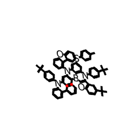 Cc1ccc(Sc2cc3c4c(c2)N(c2cccc5oc6ccccc6c25)c2cc(N(c5ccc(C(C)(C)C)cc5)c5ccccc5-c5ccccc5)ccc2B4c2oc4ccc(C(C)(C)C)cc4c2N3c2ccc(C(C)(C)C)cc2)cc1